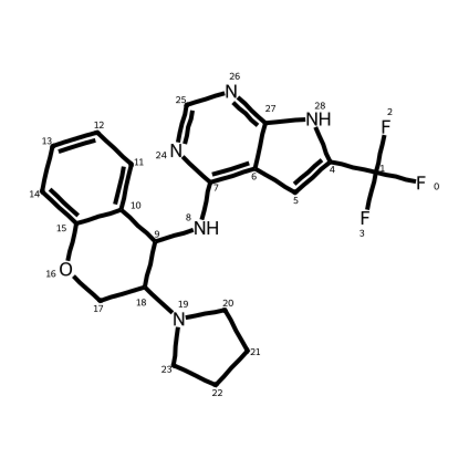 FC(F)(F)c1cc2c(NC3c4ccccc4OCC3N3CCCC3)ncnc2[nH]1